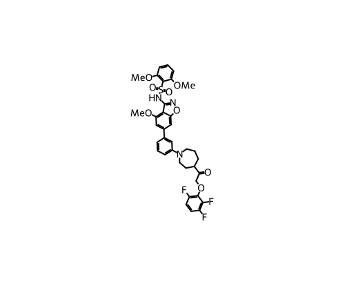 COc1cccc(OC)c1S(=O)(=O)Nc1noc2cc(-c3cccc(N4CCCC(C(=O)COc5c(F)ccc(F)c5F)CC4)c3)cc(OC)c12